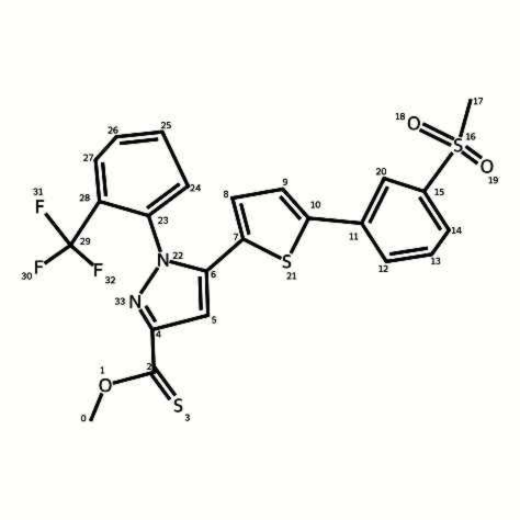 COC(=S)c1cc(-c2ccc(-c3cccc(S(C)(=O)=O)c3)s2)n(-c2ccccc2C(F)(F)F)n1